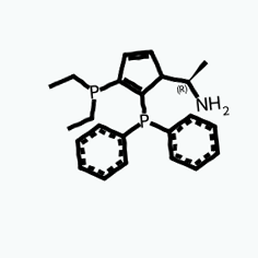 CCP(CC)C1=C(P(c2ccccc2)c2ccccc2)C([C@@H](C)N)C=C1